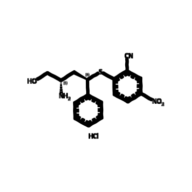 Cl.N#Cc1cc([N+](=O)[O-])ccc1S[C@H](C[C@H](N)CO)c1ccccc1